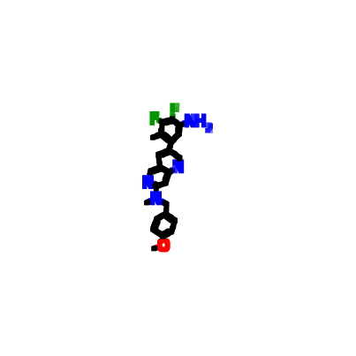 COc1ccc(CN(C)c2cc3ncc(-c4cc(N)c(F)c(F)c4C)cc3cn2)cc1